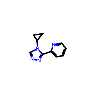 c1ccc(-c2nncn2C2CC2)nc1